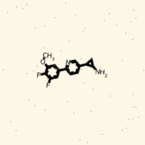 COc1cc(-c2ccc(C3CC3N)cn2)cc(F)c1F